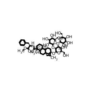 C=C1C[C@@]23CC[C@H]4[C@@](C)(CCC[C@@]4(C)C(=O)N[C@H](Cc4ccccc4)C(=O)OC)[C@@H]2CC[C@]1(O[C@@H]1O[C@H](CO)[C@@H](O)[C@H](O[C@@H]2O[C@H](CO)[C@@H](O)[C@H](O)[C@H]2O)[C@H]1O[C@@H]1O[C@H](CO)[C@@H](O)[C@H](O)[C@H]1O)C3